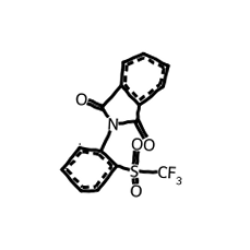 O=C1c2ccccc2C(=O)N1c1[c]cccc1S(=O)(=O)C(F)(F)F